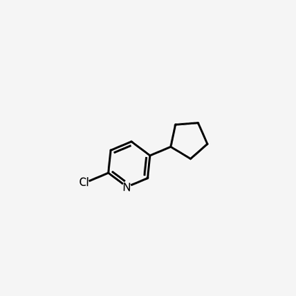 Clc1ccc(C2CCCC2)cn1